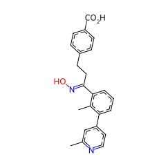 Cc1cc(-c2cccc(C(CCc3ccc(C(=O)O)cc3)=NO)c2C)ccn1